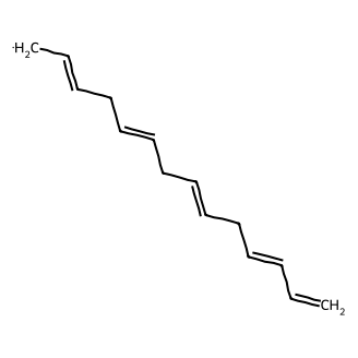 [CH2]C=CCC=CCC=CCC=CC=C